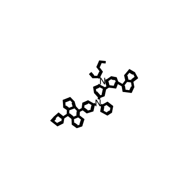 C=C/C(=C\C=C/C)n1c2ccc(-c3cccc4ccccc34)cc2c2cc(N(c3ccccc3)c3ccc(-c4c5ccccc5c(-c5ccccc5)c5ccccc45)cc3)ccc21